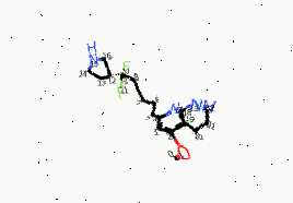 COc1cc(CCCCC(F)(F)[C@@H]2CCNC2)nc2c1CCCN2